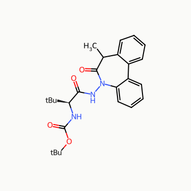 CC1C(=O)N(NC(=O)[C@@H](NC(=O)OC(C)(C)C)C(C)(C)C)c2ccccc2-c2ccccc21